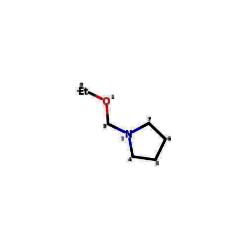 C[CH]OCN1CCCC1